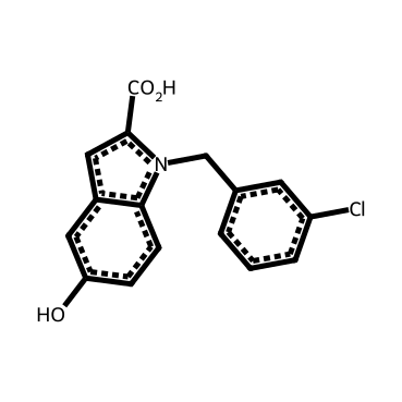 O=C(O)c1cc2cc(O)ccc2n1Cc1cccc(Cl)c1